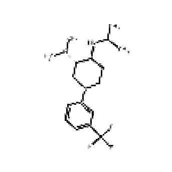 CC(C)N[C@H]1CCN(c2cccc(C(F)(F)F)c2)C[C@@H]1N(C)C